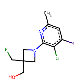 Cc1cc(I)c(Cl)c(N2CC(CO)(CF)C2)n1